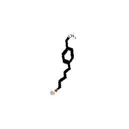 CCc1ccc(/C=C/C=C/CBr)cc1